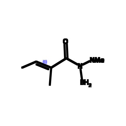 BN(NC)C(=O)/C(C)=C/C